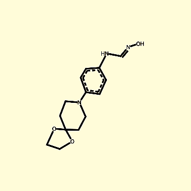 O/N=C/Nc1ccc(N2CCC3(CC2)OCCO3)cc1